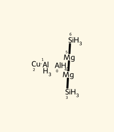 [AlH3].[AlH3].[Cu].[SiH3][Mg][Mg][SiH3]